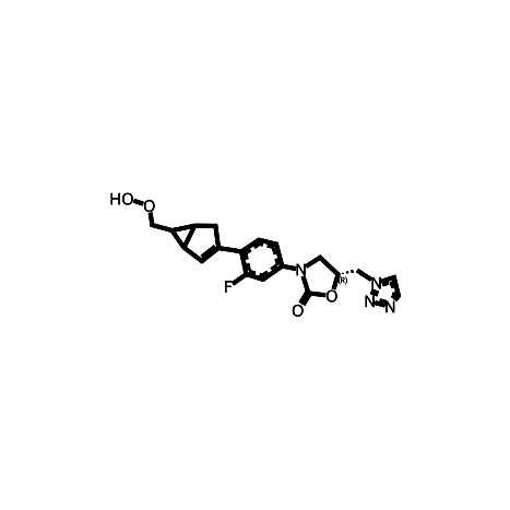 O=C1O[C@@H](Cn2ccnn2)CN1c1ccc(C2=CC3C(COO)C3C2)c(F)c1